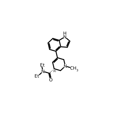 CCN(CC)C(=O)[C@@H]1C=C(c2cccc3[nH]ccc23)CN(C)C1